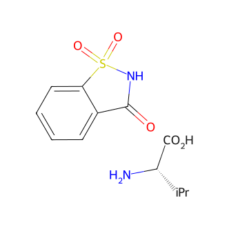 CC(C)[C@H](N)C(=O)O.O=C1NS(=O)(=O)c2ccccc21